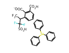 O=C(O)c1cccc(C(C(F)(F)F)C(F)(F)S(=O)(=O)O)c1C(=O)[O-].c1ccc([S+](c2ccccc2)c2ccccc2)cc1